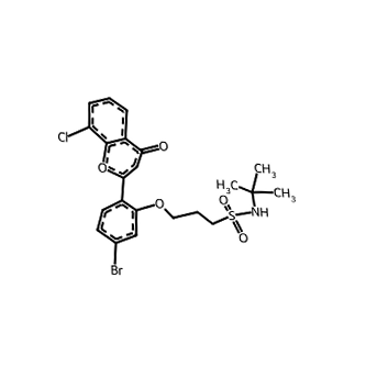 CC(C)(C)NS(=O)(=O)CCCOc1cc(Br)ccc1-c1cc(=O)c2cccc(Cl)c2o1